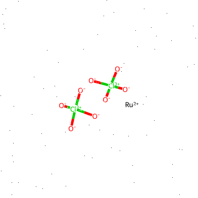 [O-][Cl+3]([O-])([O-])[O-].[O-][Cl+3]([O-])([O-])[O-].[Ru+2]